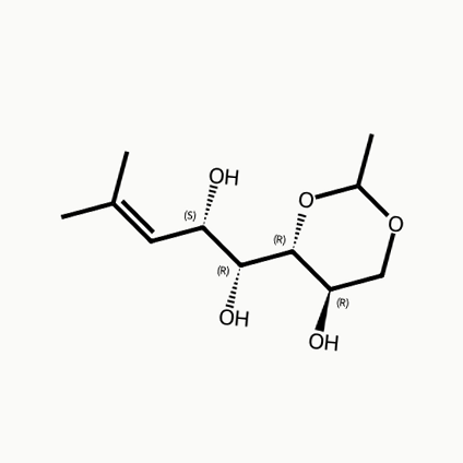 CC(C)=C[C@H](O)[C@@H](O)[C@@H]1OC(C)OC[C@H]1O